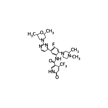 CC1CN(c2nccc(-c3cc(NC(=O)c4c[nH]c(=O)cc4C(F)(F)F)c(N4CCN(C)C(C)C4)cc3F)n2)CC(C)O1